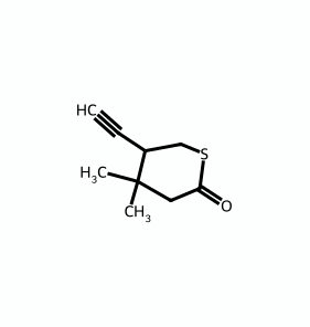 C#CC1CSC(=O)CC1(C)C